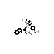 Cc1ncc([C@H]2CC[C@H](O)CC2)c(OC[C@H]2[C@@H](C)[C@H]2c2ccc3ccccc3n2)n1